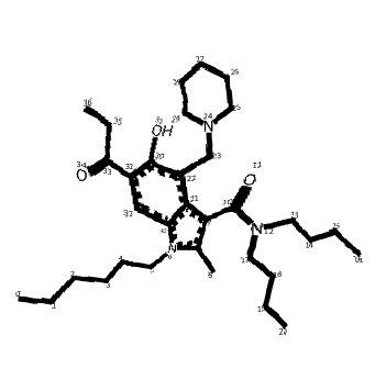 CCCCCCn1c(C)c(C(=O)N(CCCC)CCCC)c2c(CN3CCCCC3)c(O)c(C(=O)CC)cc21